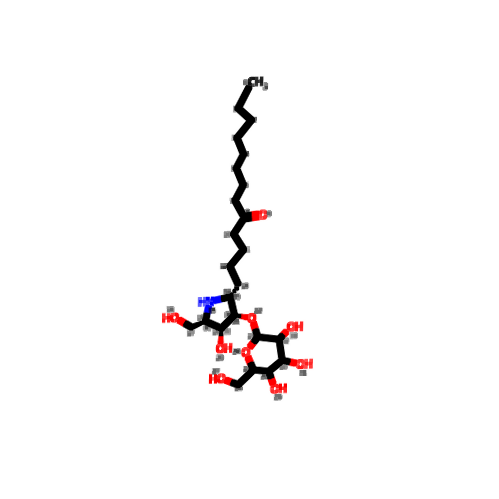 CCCCCCCCC(=O)CCCC[C@H]1N[C@H](CO)[C@H](O)[C@@H]1OC1OC(CO)C(O)C(O)C1O